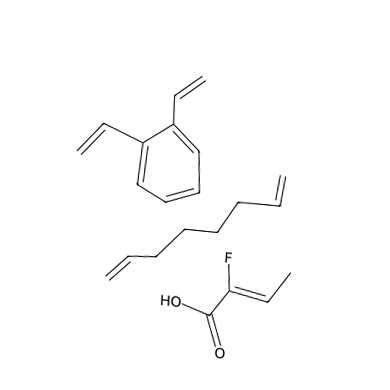 C=CCCCCC=C.C=Cc1ccccc1C=C.CC=C(F)C(=O)O